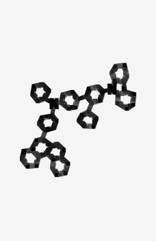 c1ccc(-c2cc(-n3c4ccccc4c4ccccc43)ccc2-c2ccc(N(c3ccccc3)c3ccc(-c4cc5ccccc5c5c4ccc4ccccc45)cc3)cc2)cc1